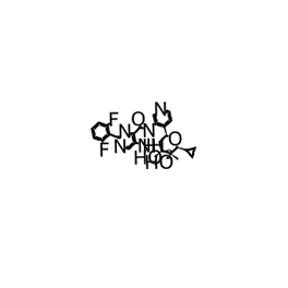 C[C@@]1(O)[C@@H](O)C[C@@H](c2ccncc2NC(=O)c2nc(-c3c(F)cccc3F)ncc2N)O[C@H]1C1CC1